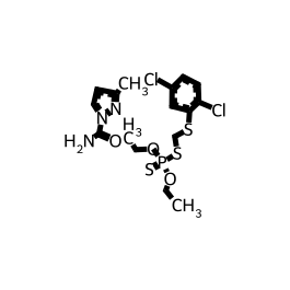 CCOP(=S)(OCC)SCSc1cc(Cl)ccc1Cl.Cc1ccn(C(N)=O)n1